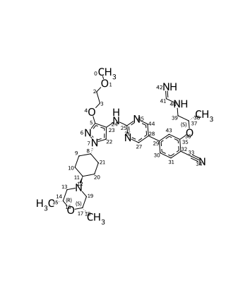 COCCOc1nn([C@H]2CC[C@H](N3C[C@@H](C)O[C@@H](C)C3)CC2)cc1Nc1ncc(-c2ccc(C#N)c(O[C@@H](C)CNC=N)c2)cn1